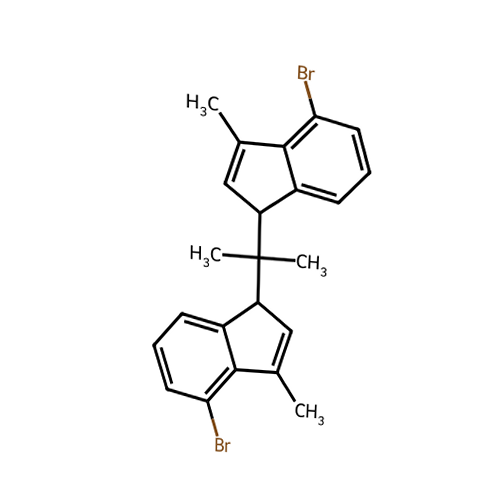 CC1=CC(C(C)(C)C2C=C(C)c3c(Br)cccc32)c2cccc(Br)c21